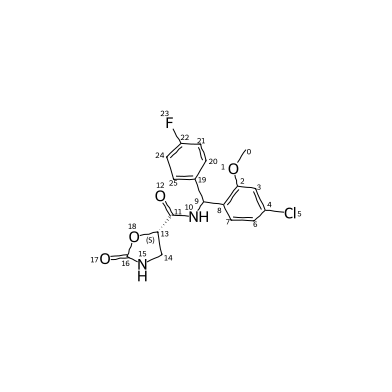 COc1cc(Cl)ccc1C(NC(=O)[C@@H]1CNC(=O)O1)c1ccc(F)cc1